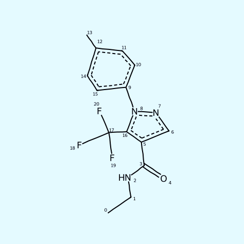 CCNC(=O)c1cnn(-c2ccc(C)cc2)c1C(F)(F)F